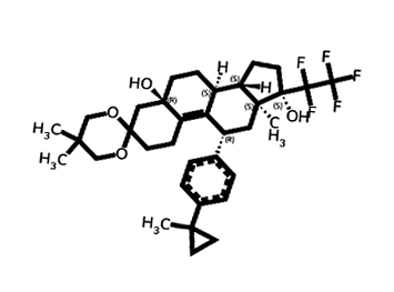 CC1(C)COC2(CCC3=C4[C@@H](CC[C@@]3(O)C2)[C@@H]2CC[C@@](O)(C(F)(F)C(F)(F)F)[C@@]2(C)C[C@@H]4c2ccc(C3(C)CC3)cc2)OC1